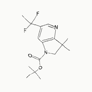 CC(C)(C)OC(=O)N1CC(C)(C)c2ncc(C(C)(F)F)cc21